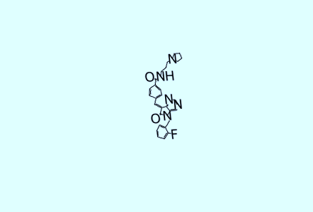 O=C(NCCCN1CCCC1)c1ccc(/C=C2/C(=O)N(Cc3ccccc3F)c3cncnc32)cc1